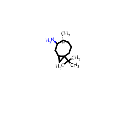 C[C@@H]1CCCC2(C(C)(C)C)CC2CC1N